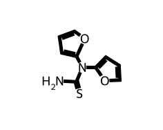 NC(=S)N(c1ccco1)c1ccco1